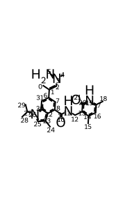 C/C(=C\N(C)N)c1cc(C(=O)NCc2c(C)cc(C)[nH]c2=O)c2c(C)cn(C(C)C)c2c1